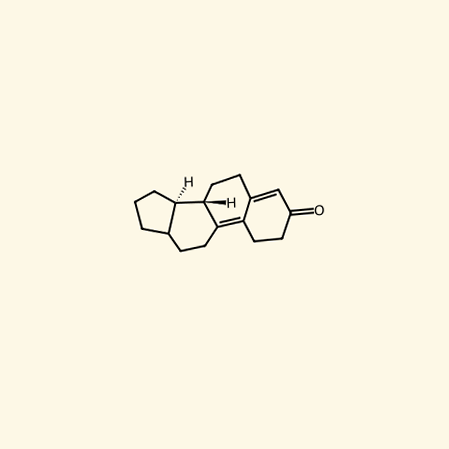 O=C1C=C2CC[C@@H]3C(=C2CC1)CCC1CCC[C@H]13